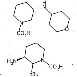 CC(C)(C)C1[C@@H](N)CCCN1C(=O)O.O=C(O)N1CCC[C@H](NC2CCOCC2)C1